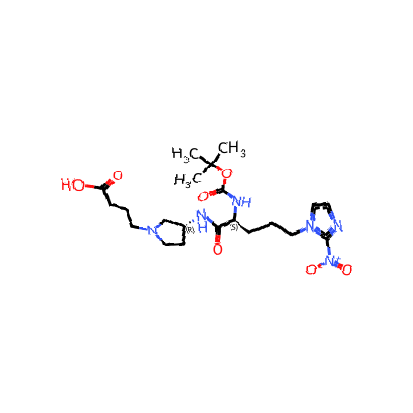 CC(C)(C)OC(=O)N[C@@H](CCCn1ccnc1[N+](=O)[O-])C(=O)N[C@@H]1CCN(CCCC(=O)O)C1